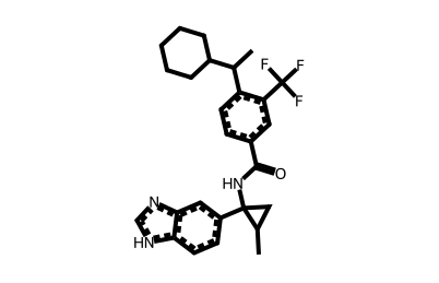 CC(c1ccc(C(=O)NC2(c3ccc4[nH]cnc4c3)CC2C)cc1C(F)(F)F)C1CCCCC1